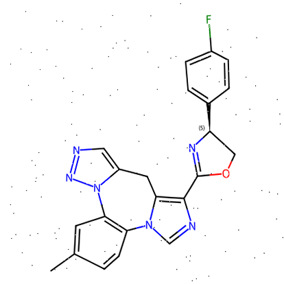 Cc1ccc2c(c1)-n1nncc1Cc1c(C3=N[C@@H](c4ccc(F)cc4)CO3)ncn1-2